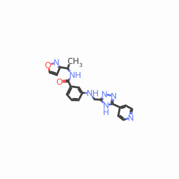 CC(NC(=O)c1cccc(NCc2nnc(-c3ccncc3)[nH]2)c1)c1ccon1